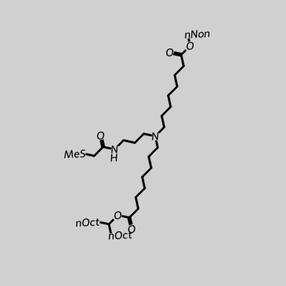 CCCCCCCCCOC(=O)CCCCCCCN(CCCCCCCC(=O)OC(CCCCCCCC)CCCCCCCC)CCCNC(=O)CSC